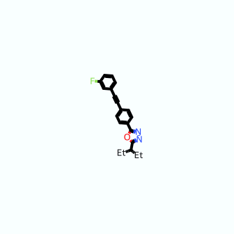 CCC(CC)c1nnc(-c2ccc(C#Cc3cccc(F)c3)cc2)o1